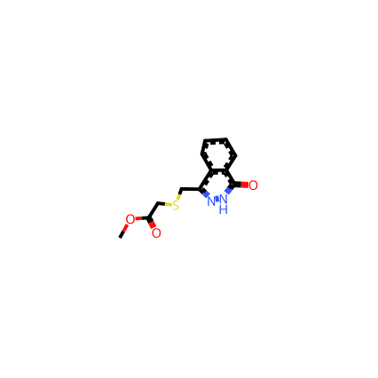 COC(=O)CSCc1n[nH]c(=O)c2ccccc12